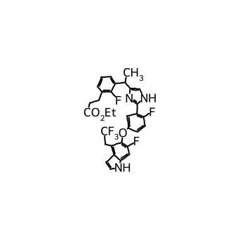 CCOC(=O)CCc1cccc(C(C)c2c[nH]c(-c3cc(Oc4c(F)cc5[nH]ccc5c4CC(F)(F)F)ccc3F)n2)c1F